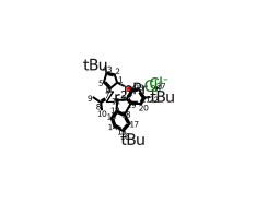 CCCC1C=C(C(C)(C)C)C=[C]1[Zr+2](=[C](C)C)[CH]1c2ccc(C(C)(C)C)cc2-c2cc(C(C)(C)C)ccc21.[Cl-].[Cl-]